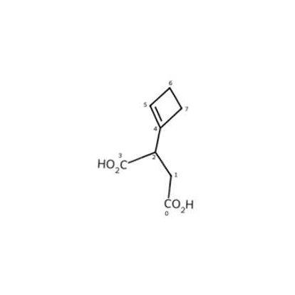 O=C(O)CC(C(=O)O)C1=CCC1